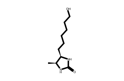 C[C@@H]1NC(=O)N[C@@H]1CCCCCCO